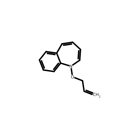 C=CCON1C=CC=Cc2ccccc21